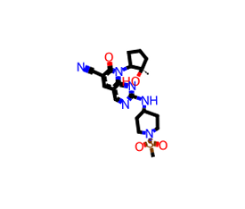 C[C@@]1(O)CCCC1n1c(=O)c(C#N)cc2cnc(NC3CCN(S(C)(=O)=O)CC3)nc21